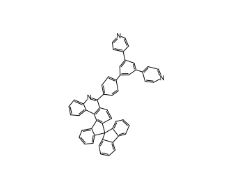 c1ccc2c(c1)-c1ccccc1C21c2ccccc2-c2c1ccc1c(-c3ccc(-c4cc(-c5ccncc5)cc(-c5ccncc5)c4)cc3)nc3ccccc3c21